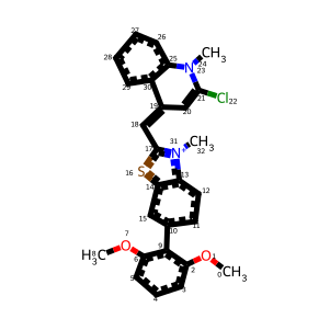 COc1cccc(OC)c1-c1ccc2c(c1)sc(C=C1C=C(Cl)N(C)c3ccccc31)[n+]2C